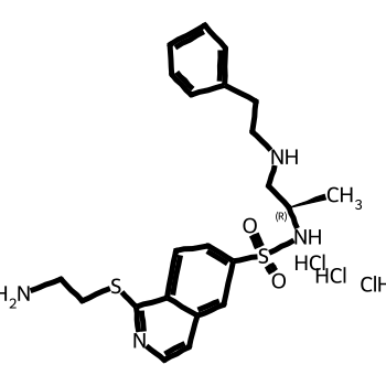 C[C@H](CNCCc1ccccc1)NS(=O)(=O)c1ccc2c(SCCN)nccc2c1.Cl.Cl.Cl